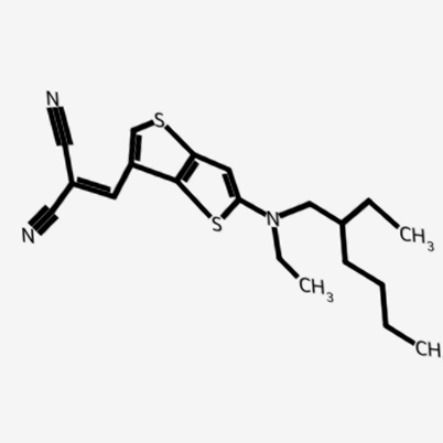 CCCCC(CC)CN(CC)c1cc2scc(C=C(C#N)C#N)c2s1